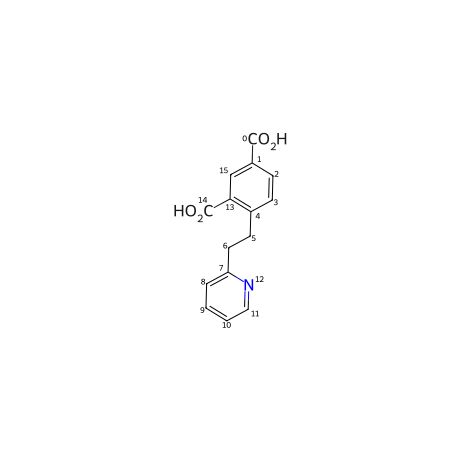 O=C(O)c1ccc(CCc2ccccn2)c(C(=O)O)c1